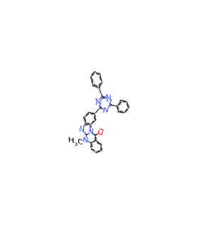 Cn1c2ccccc2c(=O)n2c3cc(-c4nc(-c5ccccc5)nc(-c5ccccc5)n4)ccc3nc12